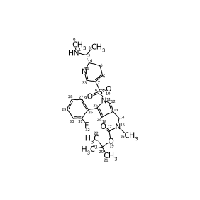 CNC(C)[C@@H]1CC=C(S(=O)(=O)n2cc(CN(C)C(=O)OC(C)(C)C)cc2-c2ccccc2F)C=N1